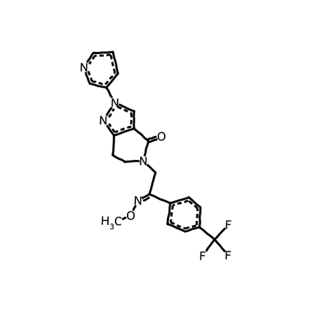 CON=C(CN1CCc2nn(-c3cccnc3)cc2C1=O)c1ccc(C(F)(F)F)cc1